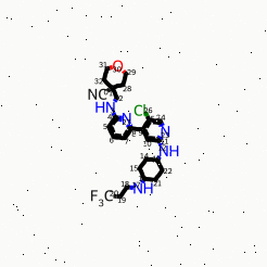 N#CC1(CNc2cccc(-c3cc(NC4CCC(NCCC(F)(F)F)CC4)ncc3Cl)n2)CCOCC1